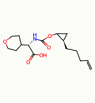 C=CCCC[C@@H]1CC1OC(=O)N[C@H](C(=O)O)C1CCOCC1